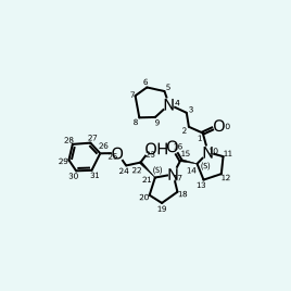 O=C(CCN1CCCCC1)N1CCC[C@H]1C(=O)N1CCC[C@H]1C(O)COc1ccccc1